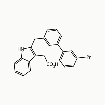 CC(C)c1cccc(-c2cccc(Cc3[nH]c4ccccc4c3CC(=O)O)c2)c1